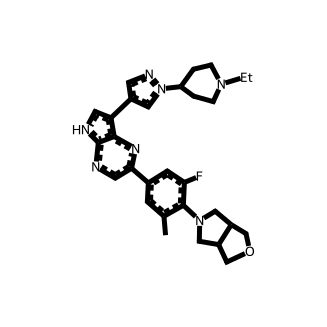 CCN1CCC(n2cc(-c3c[nH]c4ncc(-c5cc(C)c(N6CC7COCC7C6)c(F)c5)nc34)cn2)CC1